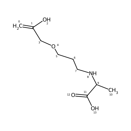 C=C(O)COCCCNC(C)C(=O)O